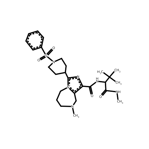 CNC(=O)C(NC(=O)c1nc(C2CCN(S(=O)(=O)c3ccccc3)CC2)n2c1CN(C)CCC2)C(C)(C)C